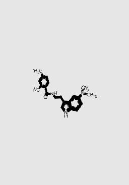 Cc1ccc(C(=O)NCCc2c[nH]c3ccc(N(C)C)cc23)c(O)c1